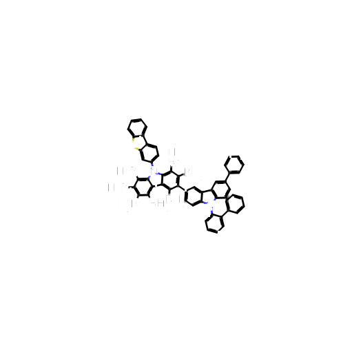 Bc1c(B)c(B)c2c(c1B)c1c(B)c(-c3ccc4c(c3)c3cc(-c5ccccc5)ccc3n4-c3ccccc3-c3ccccc3)c(B)c(B)c1n2-c1ccc2c(c1)sc1ccccc12